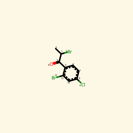 CC(Br)C(=O)c1ccc(Cl)cc1Br